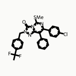 CSc1nc(-c2ccc(Cl)cc2)c(-c2ccccc2)c2nn(Cc3ccc(C(C)(F)F)cc3)c(=O)n12